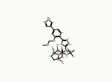 COCOc1cc(-c2cn[nH]c2)ccc1-c1nnc(N(C)[C@H]2C[C@@H]3CC[C@H]([C@H]2F)N3C(=O)OC(C)(C)C)s1